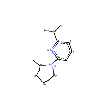 CC(C)c1cccc(N2CCCC2C)n1